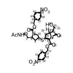 CC(=O)NOC[C@@H]1C[C@H](SC2=C(C(=O)OCc3ccc([N+](=O)[O-])cc3)N3C(=O)[C@H]([C@@H](C)O)[C@H]3[C@H]2C)CN1C(=O)OCc1ccc([N+](=O)[O-])cc1